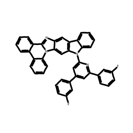 Fc1cccc(-c2cc(-c3cccc(F)c3)nc(-n3c4ccccc4c4cc5nc6c7ccccc7c7ccccc7n6c5cc43)c2)c1